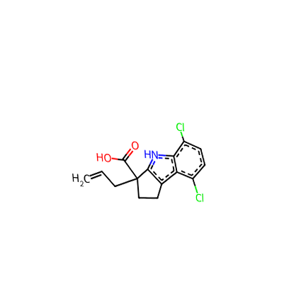 C=CCC1(C(=O)O)CCc2c1[nH]c1c(Cl)ccc(Cl)c21